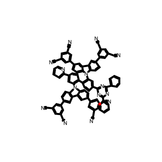 N#Cc1cc(C#N)cc(-c2ccc3c(c2)c2cc(-c4cc(C#N)cc(C#N)c4)ccc2n3-c2cc(-c3ccccn3)ccc2-c2ccc(-c3nc(-c4ccccc4)nc(-c4ccccc4)n3)cc2-n2c3ccc(-c4cc(C#N)cc(C#N)c4)cc3c3cc(-c4cc(C#N)cc(C#N)c4)ccc32)c1